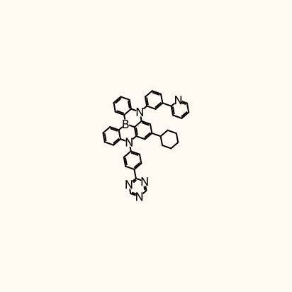 c1ccc(-c2cccc(N3c4ccccc4B4c5ccccc5N(c5ccc(-c6ncncn6)cc5)c5cc(C6CCCCC6)cc3c54)c2)nc1